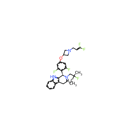 C[C@@H]1Cc2c([nH]c3ccccc23)[C@@H](c2c(F)cc(OC3CN(CC=C(F)F)C3)cc2F)N1CC(C)(C)F